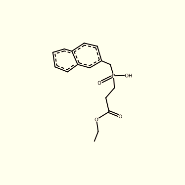 CCOC(=O)CCP(=O)(O)Cc1ccc2ccccc2c1